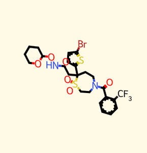 O=C(CC1(c2ccc(Br)s2)CCN(C(=O)c2ccccc2C(F)(F)F)CCS1(=O)=O)NOC1CCCCO1